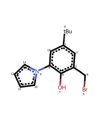 CC(C)(C)c1cc(CBr)c(O)c(-n2cccc2)c1